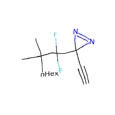 C#CC1(C(F)(F)C(C)(C)CCCCCC)N=N1